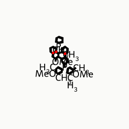 COc1ccc(C)c(-c2ccccc2P(c2ccccc2)c2ccccc2)c1-c1cc(P(c2cc(C)c(OC)c(C)c2)c2cc(C)c(OC)c(C)c2)ccc1C